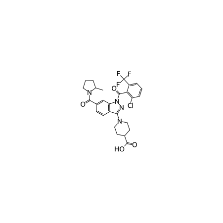 CC1CCCN1C(=O)c1ccc2c(N3CCC(C(=O)O)CC3)nn(C(=O)c3c(Cl)cccc3C(F)(F)F)c2c1